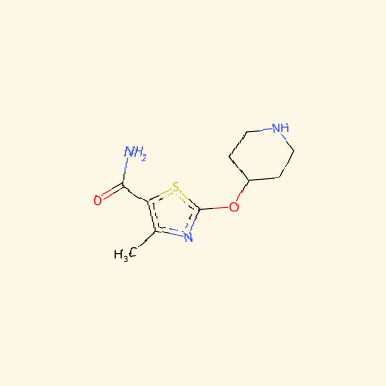 Cc1nc(OC2CCNCC2)sc1C(N)=O